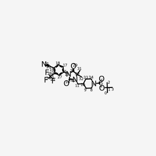 CC(C)(C)OC(=O)N1CCC(CN2C(=O)N(c3ccc(C#N)c(C(F)(F)F)c3)C(=O)C2(C)C)CC1